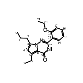 CCCc1nc(CC)c2c(=O)[nH]c(-c3ccccc3OCC)nn12